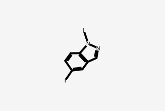 Ic1ccc2c(cnn2I)c1